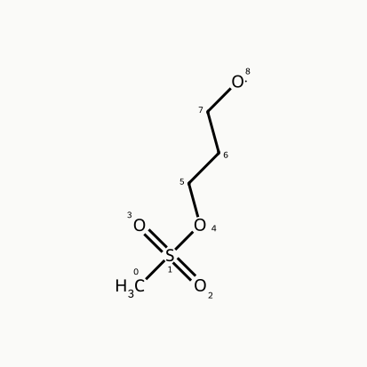 CS(=O)(=O)OCCC[O]